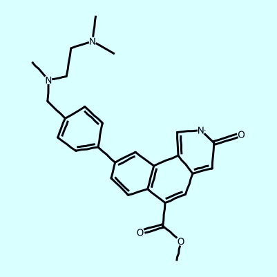 COC(=O)c1cc2c(c3cc(-c4ccc(CN(C)CCN(C)C)cc4)ccc13)=C[N]C(=O)C=2